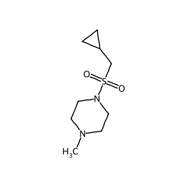 CN1CCN(S(=O)(=O)CC2CC2)CC1